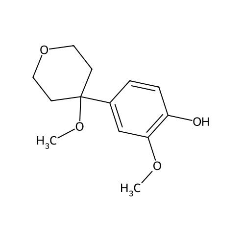 COc1cc(C2(OC)CCOCC2)ccc1O